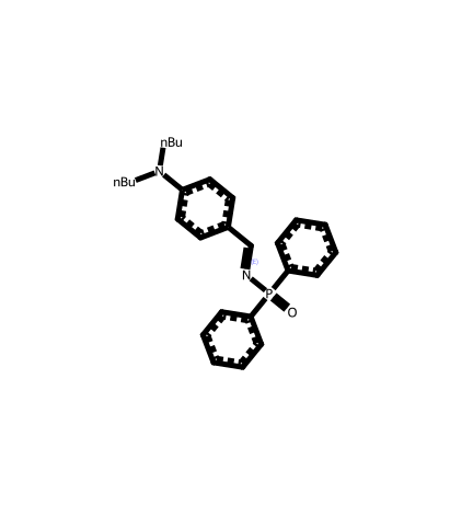 CCCCN(CCCC)c1ccc(/C=N/P(=O)(c2ccccc2)c2ccccc2)cc1